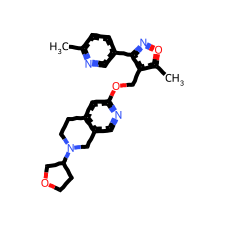 Cc1ccc(-c2noc(C)c2COc2cc3c(cn2)CN(C2CCOC2)CC3)cn1